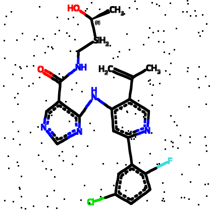 C=C(C)c1cnc(-c2cc(Cl)ccc2F)cc1Nc1ncncc1C(=O)NC[SiH2][C@H](C)O